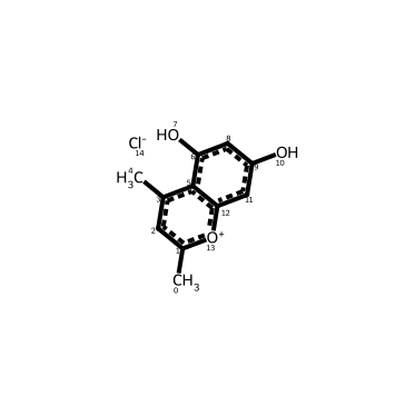 Cc1cc(C)c2c(O)cc(O)cc2[o+]1.[Cl-]